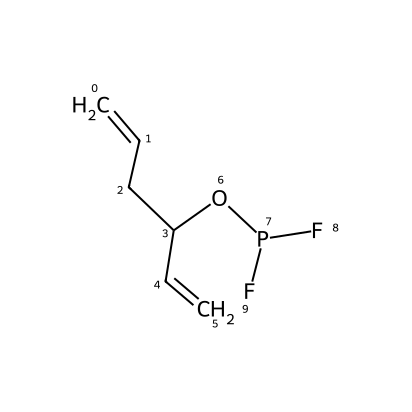 C=CCC(C=C)OP(F)F